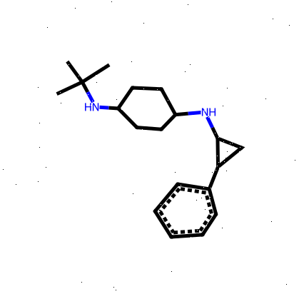 CC(C)(C)NC1CCC(NC2CC2c2ccccc2)CC1